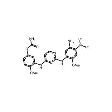 CCN(CC)c1cc(OC)c(Nc2nccc(Nc3cc(OC(N)=O)ccc3OC)n2)cc1N